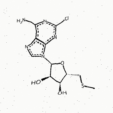 CSC[C@H]1OC(n2cnc3c(N)nc(Cl)nc32)[C@H](O)[C@@H]1O